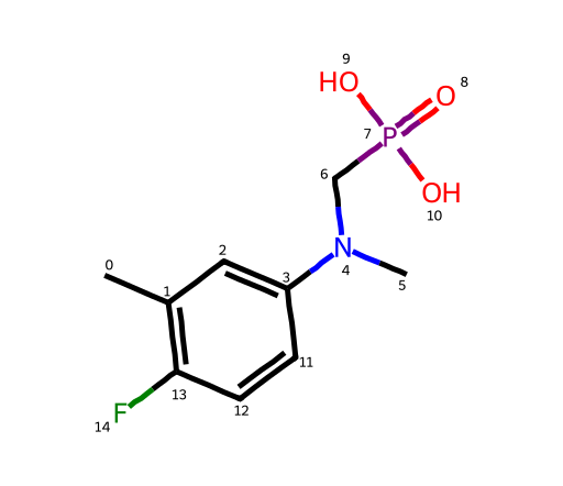 Cc1cc(N(C)CP(=O)(O)O)ccc1F